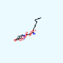 CCCCC/C=C\C/C=C\CCCCCCCC(=O)OC(COC(=O)CCC(=O)OCNC1CCC2C3CCC4=CC(=O)C=CC4(C)C3C(O)CC12O)CN(C)C